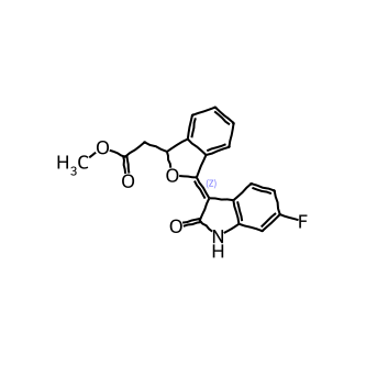 COC(=O)CC1O/C(=C2\C(=O)Nc3cc(F)ccc32)c2ccccc21